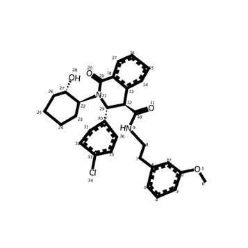 COc1cccc(CCNC(=O)[C@@H]2c3ccccc3C(=O)N([C@H]3CCCC[C@@H]3O)[C@H]2c2ccc(Cl)cc2)c1